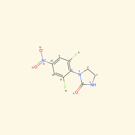 O=C1NCCN1c1c(F)cc([N+](=O)[O-])cc1F